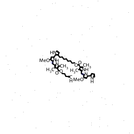 C#CCCCOC(=O)c1c(C)[nH]c(/C=C2\N=C(c3[nH]ccc3CCCCCCCCOC(=O)c3c(C)[nH]c(/C=C4\N=C(c5ccc[nH]5)C=C4OC)c3C)C=C2OC)c1C